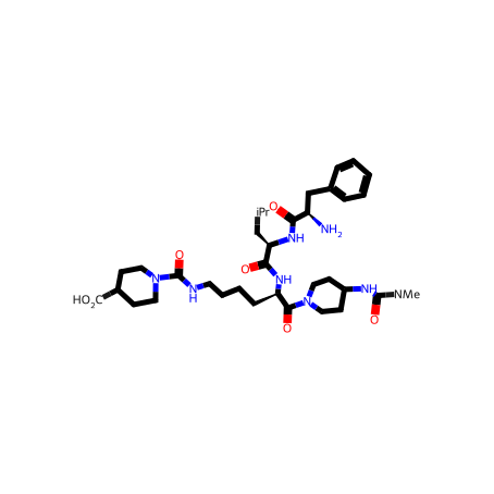 CNC(=O)NC1CCN(C(=O)[C@@H](CCCCNC(=O)N2CCC(C(=O)O)CC2)NC(=O)[C@@H](CC(C)C)NC(=O)[C@H](N)Cc2ccccc2)CC1